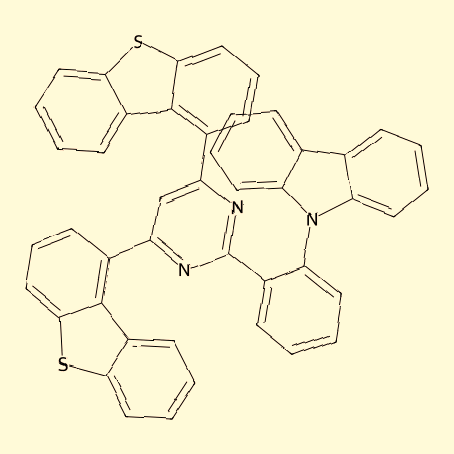 c1ccc(-n2c3ccccc3c3ccccc32)c(-c2nc(-c3cccc4sc5ccccc5c34)cc(-c3cccc4sc5ccccc5c34)n2)c1